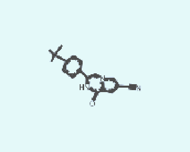 CC(C)(C)c1ccc(-c2cn3cc(C#N)cc3c(=O)[nH]2)cc1